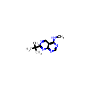 CNc1ncnc2nc(C(C)(C)C)ncc12